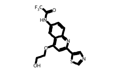 O=C(Nc1ccc2nc(-c3cncs3)cc(OCCO)c2c1)C(F)(F)F